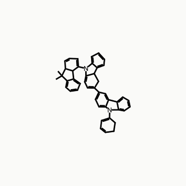 CC1(C)c2ccccc2C2C(N3C4=CC=C(c5ccc6c(c5)c5ccccc5n6C5=CC=CCC5)CC4c4ccccc43)=CC=CC21